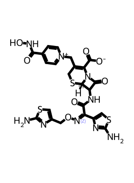 Nc1nc(CO/N=C(\C(=O)NC2C(=O)N3C(C(=O)[O-])=C(C[n+]4ccc(C(=O)NO)cc4)CS[C@@H]23)c2csc(N)n2)cs1